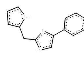 c1ccc(-c2c[nH]c(Cc3ccc[nH]3)n2)cc1